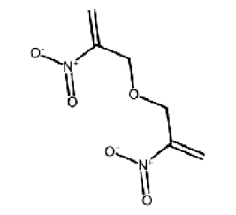 C=C(COCC(=C)[N+](=O)[O-])[N+](=O)[O-]